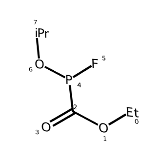 CCOC(=O)P(F)OC(C)C